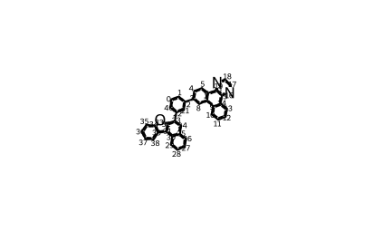 c1cc(-c2ccc3c(c2)c2ccccc2c2nccnc32)cc(-c2cc3ccccc3c3c2oc2ccccc23)c1